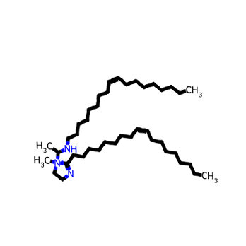 CCCCCCCC/C=C\CCCCCCCCNC(C)[N+]1(C)CCN=C1CCCCCCCC/C=C\CCCCCCCC